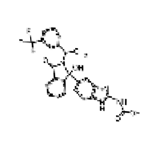 CC(c1cccc(C(F)(F)F)c1)N1C(=O)c2ccccc2C1(O)c1ccc2[nH]c(NC(=O)O)nc2c1